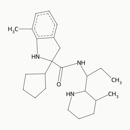 CCC(NC(=O)C1(C2CCCC2)Cc2cccc(C)c2N1)C1NCCCC1C